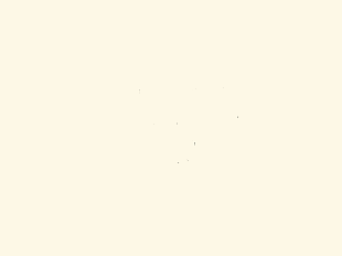 O=C1CCc2cccc(C(F)(F)F)c2O1